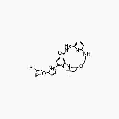 CC(C)C(COc1ccn(-c2ccc3c(n2)N2CC(CC2(C)C)OCCNc2cccc(n2)SNC3=O)n1)C(C)C